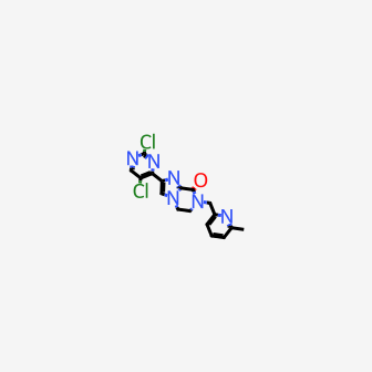 Cc1cccc(CN2CCn3cc(-c4nc(Cl)ncc4Cl)nc3C2=O)n1